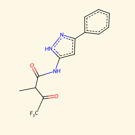 CC(C(=O)Nc1cc(-c2ccccc2)n[nH]1)C(=O)C(F)(F)F